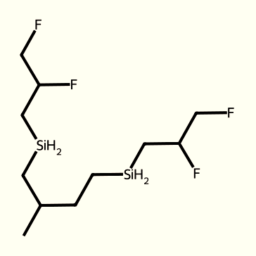 CC(CC[SiH2]CC(F)CF)C[SiH2]CC(F)CF